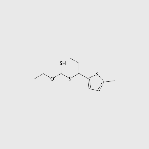 CCOC(S)SC(CC)c1ccc(C)s1